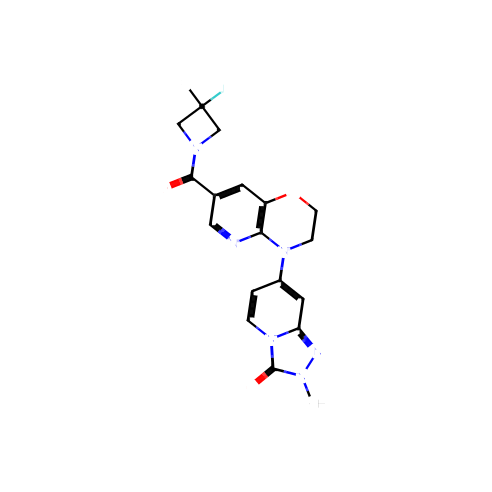 Cn1nc2cc(N3CCOc4cc(C(=O)N5CC(C)(F)C5)cnc43)ccn2c1=O